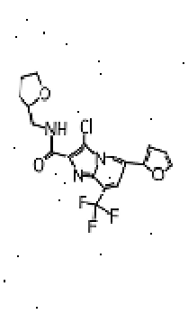 O=C(NCC1CCCO1)c1nc2c(C(F)(F)F)cc(-c3ccco3)cn2c1Cl